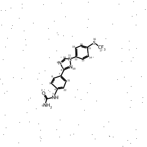 NC(=O)Nc1ccc(-c2ncn(-c3ccc(SC(F)(F)F)cc3)n2)cc1